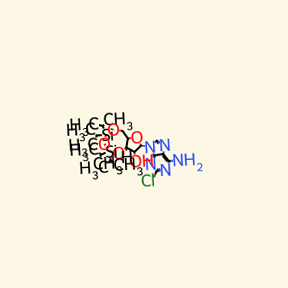 CC(C)[Si]1(C(C)C)OCC2O[C@@H](n3cnc4c(N)nc(Cl)nc43)[C@@H](O)[C@@H]2O[Si](C(C)C)(C(C)C)O1